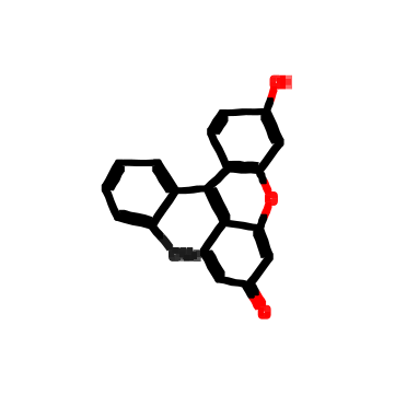 COc1ccccc1-c1c2ccc(=O)cc-2oc2cc(O)ccc12